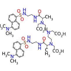 CC(C(=O)NCCNS(=O)(=O)c1cccc2c(N(C)C)cccc12)N(CCN(CCN(CC(=O)O)C(C)C(=O)NCCNS(=O)(=O)c1cccc2c(N(C)C)cccc12)CC(=O)O)CC(=O)O